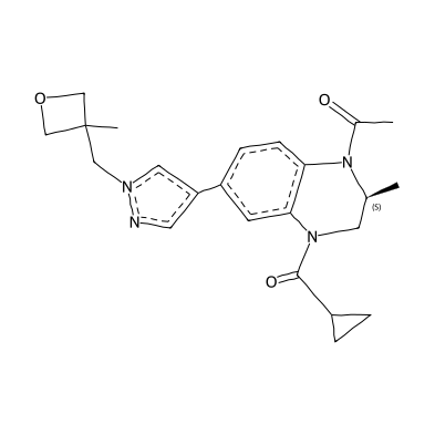 CC(=O)N1c2ccc(-c3cnn(CC4(C)COC4)c3)cc2N(C(=O)C2CC2)C[C@@H]1C